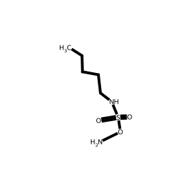 CCCCCNS(=O)(=O)ON